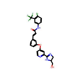 O=C(C=Cc1cccc(Oc2ccnc(C3=NCC(CO)N3)c2)c1)Nc1ccc(Br)c(C(F)(F)F)c1